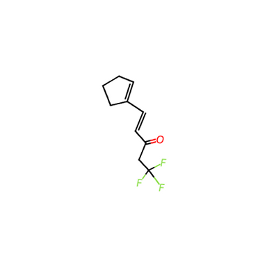 O=C(C=CC1=CCCC1)CC(F)(F)F